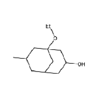 CCOC12CC(C)CC(CC(O)C1)C2